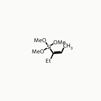 CC=C(CC)[Si](OC)(OC)OC